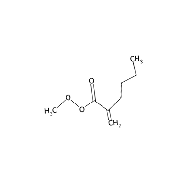 C=C(CCCC)C(=O)OOC